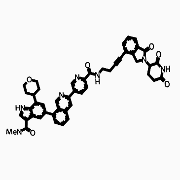 CNC(=O)c1c[nH]c2c(C3CCOCC3)cc(-c3cccc4cc(-c5ccc(C(=O)NCCC#Cc6cccc7c6CN(C6CCC(=O)NC6=O)C7=O)nc5)ncc34)cc12